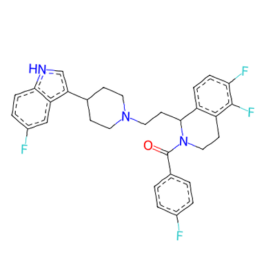 O=C(c1ccc(F)cc1)N1CCc2c(ccc(F)c2F)C1CCN1CCC(c2c[nH]c3ccc(F)cc23)CC1